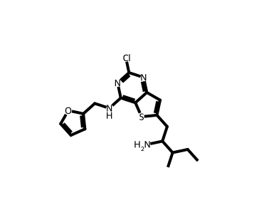 CCC(C)C(N)Cc1cc2nc(Cl)nc(NCc3ccco3)c2s1